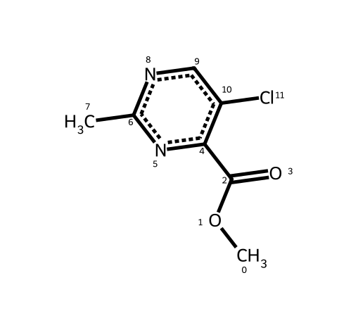 COC(=O)c1nc(C)ncc1Cl